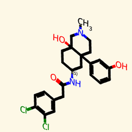 CN1CCC2(c3cccc(O)c3)C[C@@H](NC(=O)Cc3ccc(Cl)c(Cl)c3)CCC2(O)C1